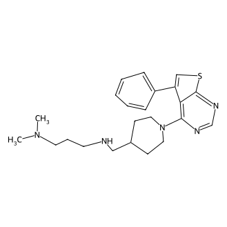 CN(C)CCCNCC1CCN(c2ncnc3scc(-c4ccccc4)c23)CC1